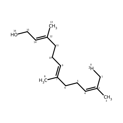 [2H]CC(C)=CCCC(C)=CCCC(C)=CCO